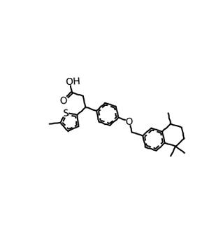 Cc1ccc(C(CC(=O)O)c2ccc(OCc3ccc4c(c3)C(C)CCC4(C)C)cc2)s1